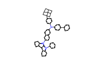 c1ccc(-c2ccc(N(c3ccc(C45CC6CC7CC(C4)C765)cc3)c3ccc4cc(-n5c6ccccc6c6c7ccccc7n(-c7ccccc7)c65)ccc4c3)cc2)cc1